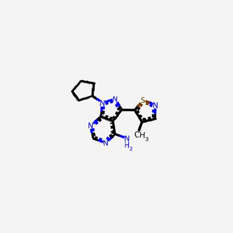 Cc1cnsc1-c1nn(C2CCCC2)c2ncnc(N)c12